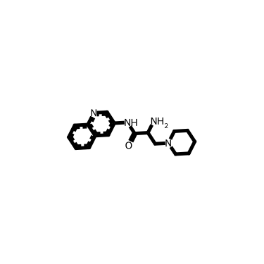 NC(CN1CCCCC1)C(=O)Nc1cnc2ccccc2c1